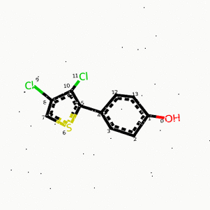 Oc1ccc(-c2scc(Cl)c2Cl)cc1